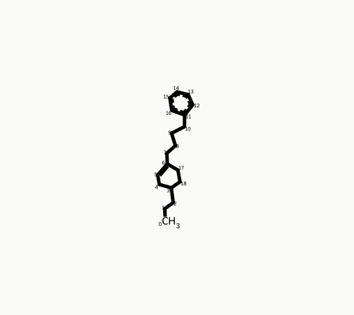 CCCC1CC=C(CCCCc2ccccc2)CC1